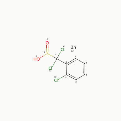 O=S(O)C(Cl)(Cl)c1ccccc1Cl.[Zn]